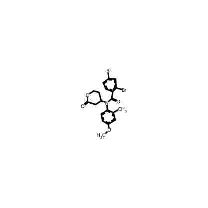 COc1ccc(N(C(=O)c2ccc(Br)cc2Br)C2CCOC(=O)C2)c(C)c1